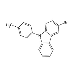 Cc1ccc(-n2c3ccccc3c3cc(Br)ccc32)cc1